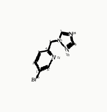 Brc1ccc(Cn2cncn2)nc1